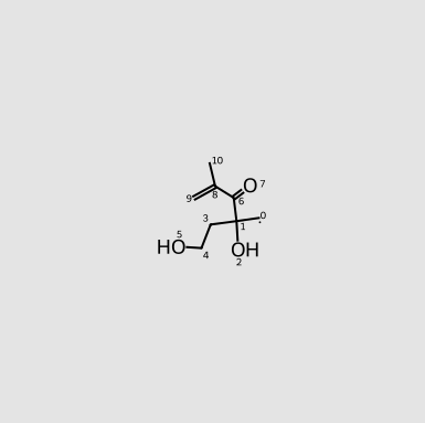 [CH2]C(O)(CCO)C(=O)C(=C)C